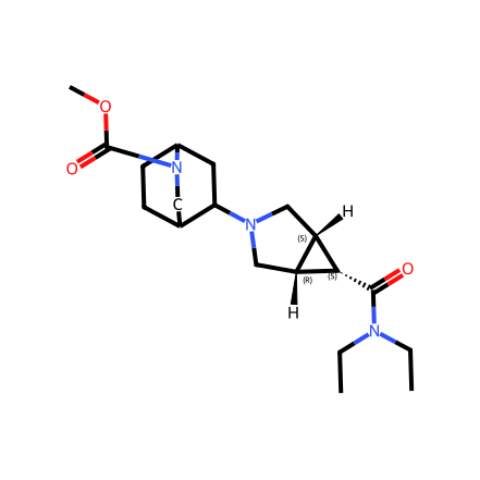 CCN(CC)C(=O)[C@@H]1[C@@H]2CN(C3CC4CCC3CN4C(=O)OC)C[C@@H]21